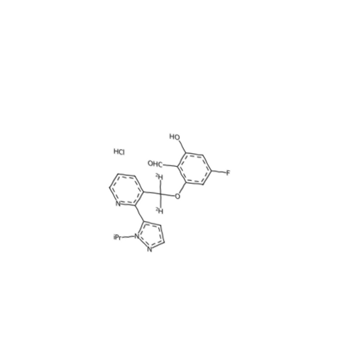 Cl.[2H]C([2H])(Oc1cc(F)cc(O)c1C=O)c1cccnc1-c1ccnn1C(C)C